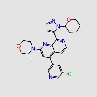 C[C@@H]1COCCN1c1cc(-c2cncc(Cl)c2)c2ccnc(-c3ccnn3C3CCCCO3)c2n1